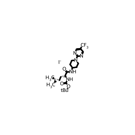 C[S+](C)CC[C@@H](NC(=O)OC(C)(C)C)C(=O)NC1CCN(c2ncc(C(F)(F)F)cn2)CC1.[I-]